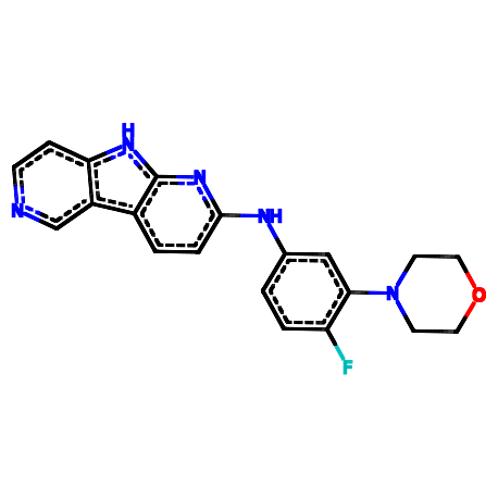 Fc1ccc(Nc2ccc3c(n2)[nH]c2ccncc23)cc1N1CCOCC1